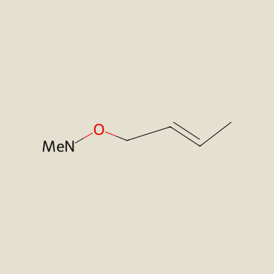 CC=CCONC